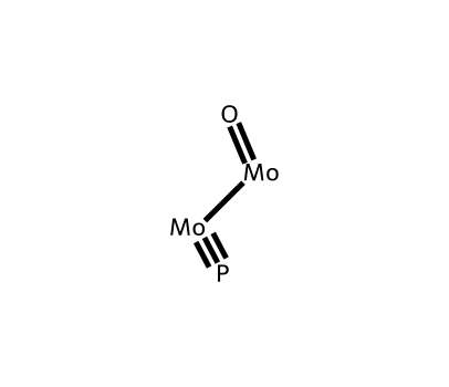 [O]=[Mo][Mo]#[P]